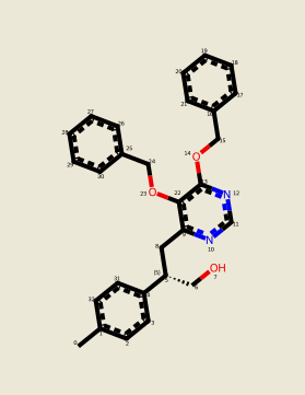 Cc1ccc([C@@H](CO)Cc2ncnc(OCc3ccccc3)c2OCc2ccccc2)cc1